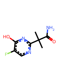 CC(C)(C(N)=O)c1ncc(F)c(O)n1